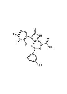 NC(=O)c1nc(-c2cccc(O)c2)nc2c1[nH]c(=O)n2-c1ccc(F)c(F)c1F